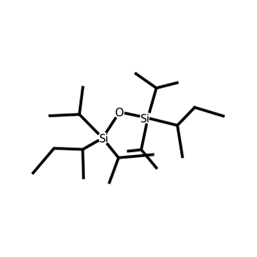 CCC(C)[Si](O[Si](C(C)C)(C(C)C)C(C)CC)(C(C)C)C(C)C